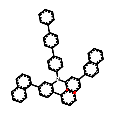 c1ccc(-c2ccc(-c3ccc(N(c4cccc(-c5ccc6ccccc6c5)c4)c4cc(-c5cccc6ccccc56)ccc4-c4ccccc4)cc3)cc2)cc1